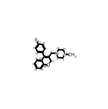 CN1CCN(CC2=C(c3ccc(F)cc3)c3ccccc3OC2)CC1